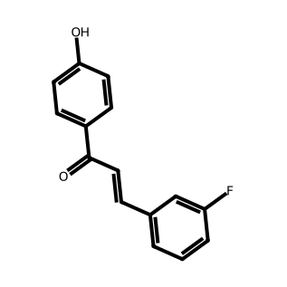 O=C(/C=C/c1cccc(F)c1)c1ccc(O)cc1